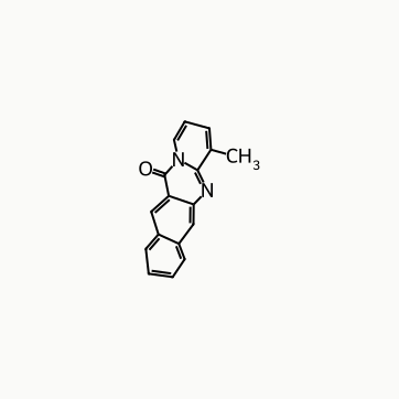 Cc1cccn2c(=O)c3cc4ccccc4cc3nc12